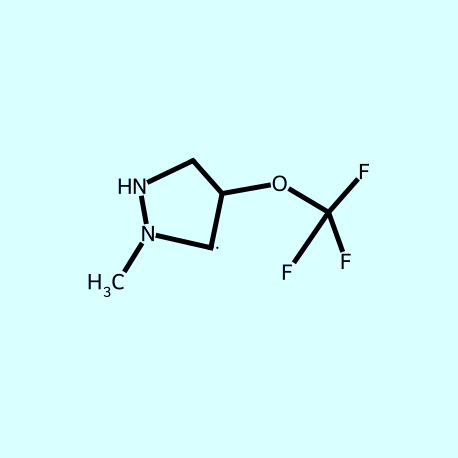 CN1[CH]C(OC(F)(F)F)CN1